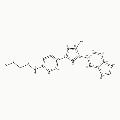 CCCCNc1ccc(-c2nc(C)c(-c3ccn4ncnc4n3)s2)cc1